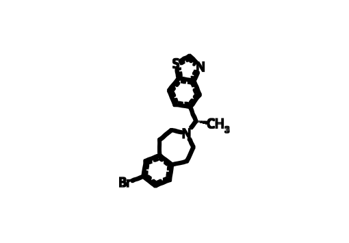 C[C@@H](c1ccc2scnc2c1)N1CCc2ccc(Br)cc2CC1